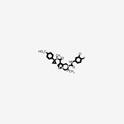 C[C@H]1Cn2ncc(C(=O)N(C)C3(c4ccc(C(=O)O)cc4)CC3)c2CN1C(=O)Nc1ccc(F)c(Cl)c1